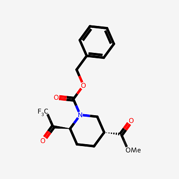 COC(=O)[C@@H]1CC[C@@H](C(=O)C(F)(F)F)N(C(=O)OCc2ccccc2)C1